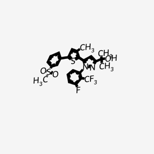 Cc1cc(-c2cccc(S(C)(=O)=O)c2)sc1-c1cc(C(C)(C)O)nn1-c1cccc(F)c1C(F)(F)F